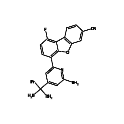 Bc1cc(C(B)(B)C(C)C)cc(-c2ccc(F)c3c2oc2cc(C#N)ccc23)n1